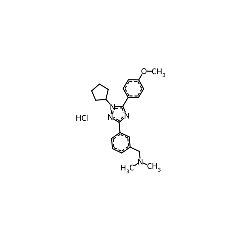 COc1ccc(-c2nc(-c3cccc(CN(C)C)c3)nn2C2CCCC2)cc1.Cl